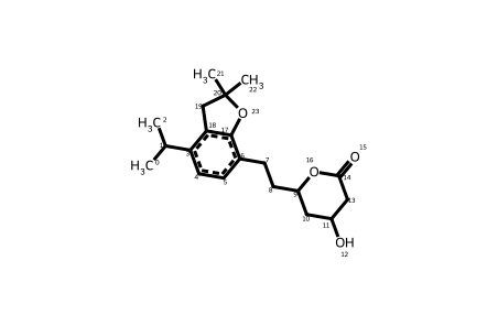 CC(C)c1ccc(CCC2CC(O)CC(=O)O2)c2c1CC(C)(C)O2